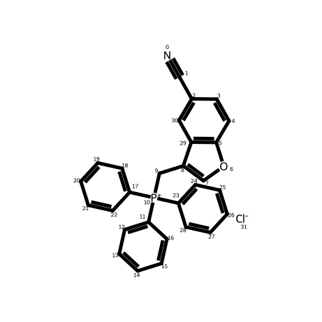 N#Cc1ccc2occ(C[P+](c3ccccc3)(c3ccccc3)c3ccccc3)c2c1.[Cl-]